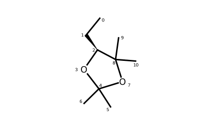 CC[C@@H]1OC(C)(C)OC1(C)C